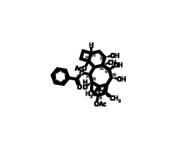 CC(=O)O[C@H]1C[C@@]2(O)[C@@H](OC(=O)c3ccccc3)C3[C@@](C)([C@@H](O)C[C@H]4CC[C@@]34OC(C)=O)[C@@H](O)[C@H](O)C(=C1C)C2(C)C